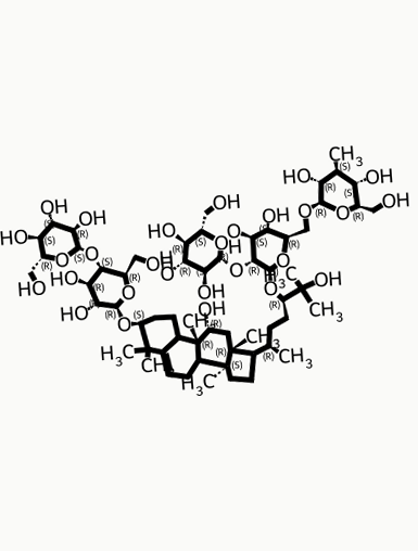 C[C@@H]1[C@@H](O)[C@H](OC[C@H]2O[C@@H](O[C@H](CC[C@@H](C)C3CC[C@@]4(C)C5CC=C6C(CC[C@H](O[C@@H]7O[C@H](CO)[C@@H](O[C@@H]8O[C@H](CO)[C@@H](O)[C@H](O)[C@H]8O)[C@H](O)[C@H]7O)C6(C)C)[C@]5(C)[C@H](O)C[C@]34C)C(C)(C)O)[C@H](O[C@H]3O[C@@H](CO)[C@H](O)[C@@H](O)[C@@H]3O)[C@@H](O)[C@@H]2O)O[C@H](CO)[C@H]1O